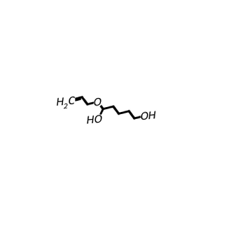 C=CCOC(O)CCCCO